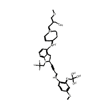 COCC(O)CN1CCC(Nc2cccc3c2CC(C#CCNc2ccc(SC)cc2OC(O)(O)O)N3CC(F)(F)F)CC1